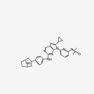 CS(C)(=O)=Nc1cccc(-n2c(C3CC3)cc3cnc(Nc4ccc(C5CC6CCC(C5)N6)cc4)nc32)n1